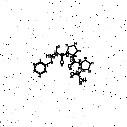 C[C@H](NCc1ccccc1)C(=O)N1CCC[C@H]1C(=O)N1CCC[C@H]1C(=O)O